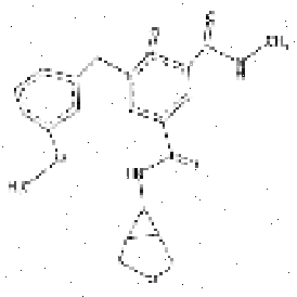 CNC(=O)c1cc(C(=O)NC2C3COCC32)cn(Cc2cccc(OC)c2)c1=O